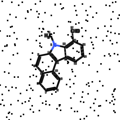 Cn1c2ccc3ccccc3c2c2cccc(C=O)c21